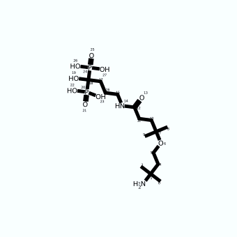 CC(C)(N)CCOC(C)(C)CCC(=O)NCCCC(O)(P(=O)(O)O)P(=O)(O)O